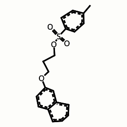 Cc1ccc(S(=O)(=O)OCCCOc2ccc3ccccc3c2)cc1